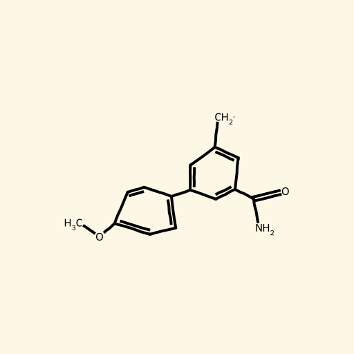 [CH2]c1cc(C(N)=O)cc(-c2ccc(OC)cc2)c1